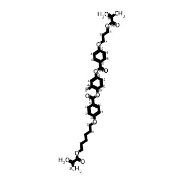 C=C(C)C(=O)OCCCCCCOc1ccc(C(=O)Oc2ccc(OC(=O)c3ccc(OCCCOC(=O)C(=C)C)cc3)cc2F)cc1